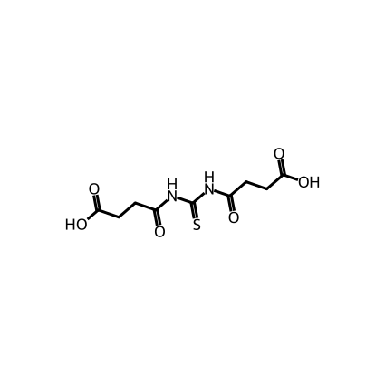 O=C(O)CCC(=O)NC(=S)NC(=O)CCC(=O)O